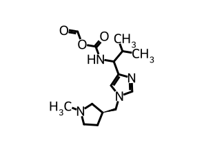 CC(C)C(NC(=O)OC=O)c1cn(C[C@H]2CCN(C)C2)cn1